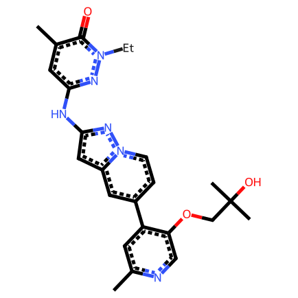 CCn1nc(Nc2cc3cc(-c4cc(C)ncc4OCC(C)(C)O)ccn3n2)cc(C)c1=O